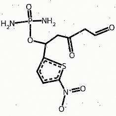 NP(N)(=O)OC(CC(=O)CC=O)c1ccc([N+](=O)[O-])s1